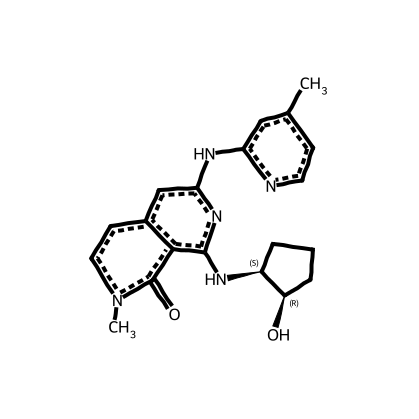 Cc1ccnc(Nc2cc3ccn(C)c(=O)c3c(N[C@H]3CCC[C@H]3O)n2)c1